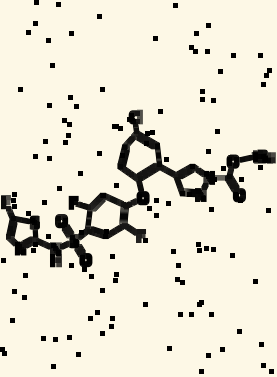 CC(C)(C)OC(=O)n1cc(-c2cc(Cl)ccc2Oc2cc(F)c(S(=O)(=O)Nc3ncc(F)s3)cc2F)cn1